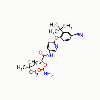 CC(C)(C)CC[C@@H](OC(N)=O)C(=O)Nc1ccc(Oc2ccc(C#N)cc2C(C)(C)C)nc1